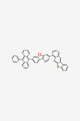 c1ccc(-c2c3ccccc3c(-c3ccc4c(c3)oc3cc(-c5cccc6cc7c(cc56)sc5ccccc57)ccc34)c3ccccc23)cc1